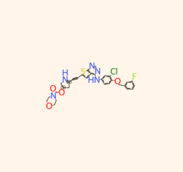 O=C(O[C@@H]1CN[C@@H](C#Cc2cc3c(Nc4ccc(OCc5cccc(F)c5)c(Cl)c4)ncnc3s2)C1)N1CCOCC1